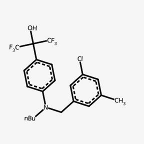 CCCCN(Cc1cc(C)cc(Cl)c1)c1ccc(C(O)(C(F)(F)F)C(F)(F)F)cc1